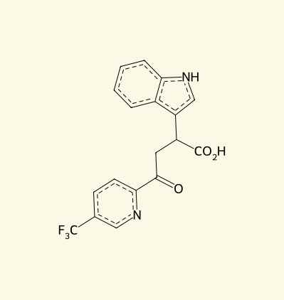 O=C(CC(C(=O)O)c1c[nH]c2ccccc12)c1ccc(C(F)(F)F)cn1